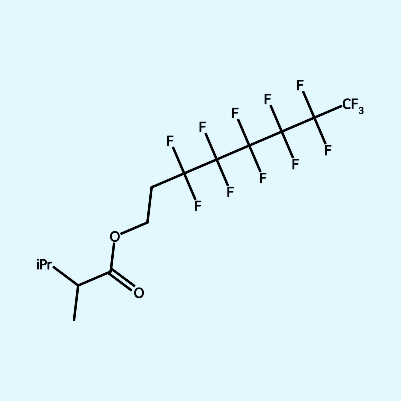 CC(C)C(C)C(=O)OCCC(F)(F)C(F)(F)C(F)(F)C(F)(F)C(F)(F)C(F)(F)F